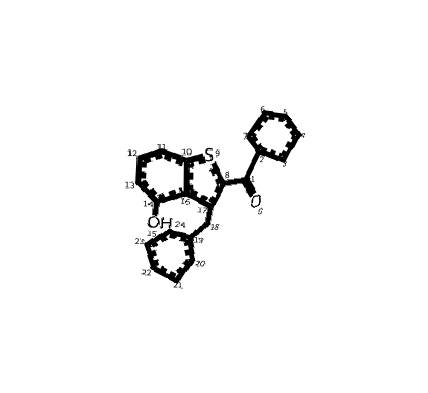 O=C(c1ccccc1)c1sc2cccc(O)c2c1Cc1ccccc1